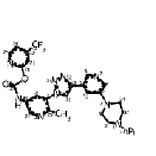 CCCN1CCN(c2cncc(-c3cn(-c4cc(NC(=O)Oc5cc(C(F)(F)F)ccn5)cnc4C)nn3)c2)CC1